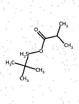 CC(C)C(=O)O[SiH2]C(C)(C)C